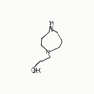 OCCN1CCCNCC1